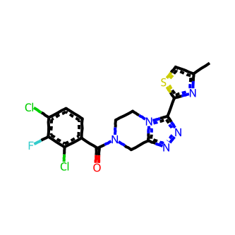 Cc1csc(-c2nnc3n2CCN(C(=O)c2ccc(Cl)c(F)c2Cl)C3)n1